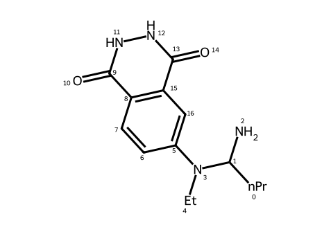 CCCC(N)N(CC)c1ccc2c(=O)[nH][nH]c(=O)c2c1